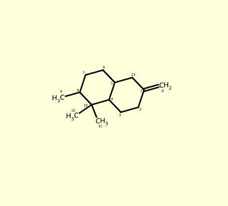 C=C1CCC2C(CCC(C)C2(C)C)C1